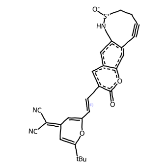 CC(C)(C)C1=CC(=C(C#N)C#N)C=C(/C=C/c2cc3cc4c(cc3oc2=O)C#CCC[S+]([O-])N4)O1